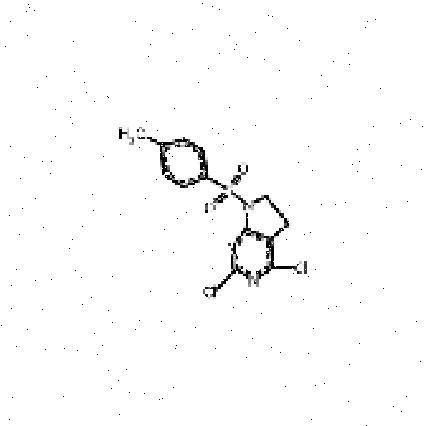 Cc1ccc(S(=O)(=O)N2CCc3c(Cl)nc(Cl)nc32)cc1